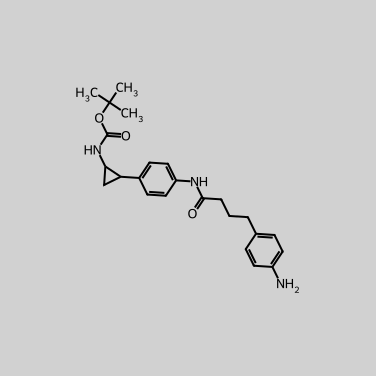 CC(C)(C)OC(=O)NC1CC1c1ccc(NC(=O)CCCc2ccc(N)cc2)cc1